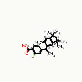 C=C(c1ccc(C(=O)O)c(F)c1)c1cc2c(cc1C)C(C)(C)CC2(C)C